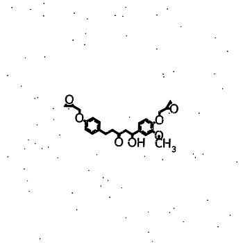 COc1cc(C(O)CC(=O)CCc2ccc(OCC3CO3)cc2)ccc1OCC1CO1